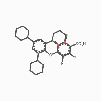 O=S(=O)(O)c1c(F)c(F)c(Oc2c(C3CCCCC3)cc(C3CCCCC3)cc2C2CCCCC2)c(F)c1F